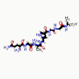 C[C@H](NC(=O)CNC(=O)CNC(=O)c1c[nH]c(CNC(=O)[C@H](C)NC(=O)CNC(=O)[C@@H](N)CCC(N)=O)c1)C(=O)O